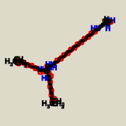 CC(C)(C)OC(=O)CCOCCOCCOCCOCCNC(=O)COc1cc(OCC(=O)NCCOCCOCCOCCOCCC(=O)OC(C)(C)C)cc(C(=O)NCCNCCCOCCOCCOCCOCCOCCOCCOCCOCCOCCOCCOCCOCCNCCCCC[C@@H]2SC[C@@H]3NC(=O)N[C@@H]32)c1